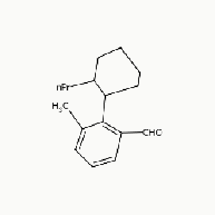 CCCC1CCCCC1c1c(C)cccc1C=O